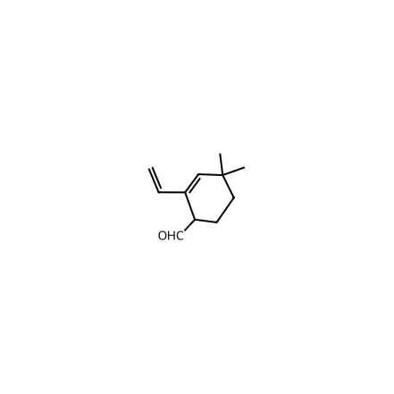 C=CC1=CC(C)(C)CCC1C=O